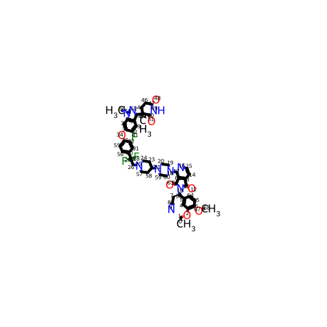 CCOc1cc([C@@H](CC#N)N2C(=O)c3ccnc(N4CCN(C5CCN(CC(F)(F)c6ccc(Oc7cc8c(cc7F)c([C@@]7(C)CCC(=O)NC7=O)nn8C)cc6)CC5)CC4)c3C2=O)ccc1OC